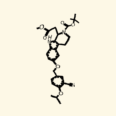 COC(=O)CC1c2[nH]c3ccc(OCc4ccc(OC(C)C)c(C#N)c4)cc3c2CCN1C(=O)OC(C)(C)C